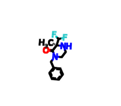 C[C@]1(C(F)F)NCCN(Cc2ccccc2)C1=O